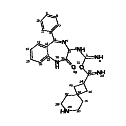 N=C(NC1N=C(c2ccccc2)c2ccccc2NC1=O)OC(=N)C1CC2(CCNCC2)C1